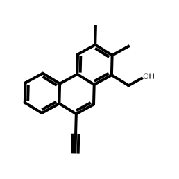 C#Cc1cc2c(CO)c(C)c(C)cc2c2ccccc12